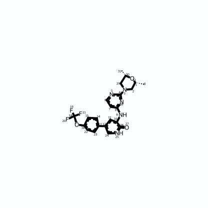 C[C@@H]1CN(c2nccc(Nc3cc(-c4ccc(OC(F)(F)F)cc4)c[nH]c3=O)n2)C[C@H](C)O1